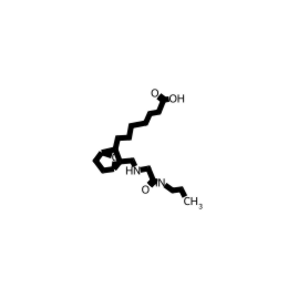 CCCNC(=O)CNCC1C2CCC(O2)C1CCCCCCC(=O)O